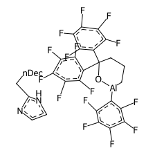 CCCCCCCCCCCc1ncc[nH]1.Fc1c(F)c(F)[c]([Al]2[CH2]CCC(c3c(F)c(F)c(F)c(F)c3F)(c3c(F)c(F)c(F)c(F)c3F)[O]2)c(F)c1F